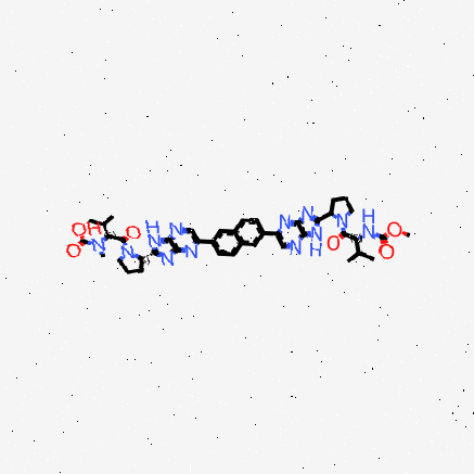 COC(=O)N[C@H](C(=O)N1CCCC1c1nc2nc(-c3ccc4cc(-c5cnc6[nH]c([C@@H]7CCCN7C(=O)[C@H](C(C)C)N(C)C(=O)O)nc6n5)ccc4c3)cnc2[nH]1)C(C)C